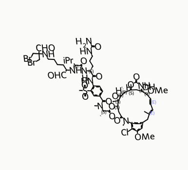 COc1cc2cc(c1Cl)N(C)C(=O)C[C@H](OC(=O)[C@H](C)N(C)C(=O)c1ccc(NC(=O)[C@H](CCCNC(N)=O)NC(=O)[C@@H](NC(C=O)CCCCNC(C=O)(CBr)CBr)C(C)C)c(S(C)(=O)=O)c1)[C@]1(C)O[C@H]1[C@H](C)[C@@H]1C[C@@](O)(NC(=O)O1)[C@H](OC)/C=C/C=C(\C)C2